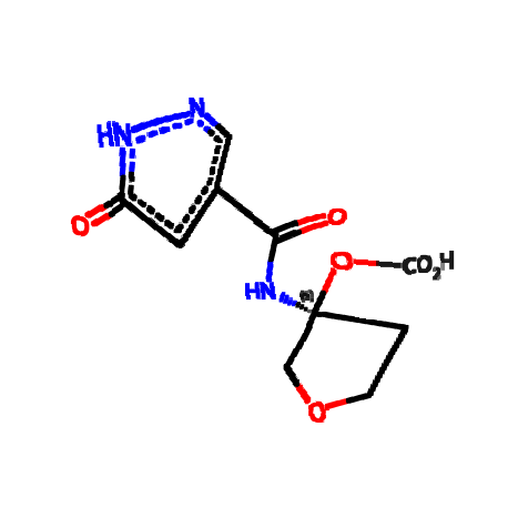 O=C(O)O[C@@]1(NC(=O)c2cn[nH]c(=O)c2)CCOC1